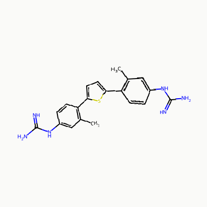 Cc1cc(NC(=N)N)ccc1-c1ccc(-c2ccc(NC(=N)N)cc2C)s1